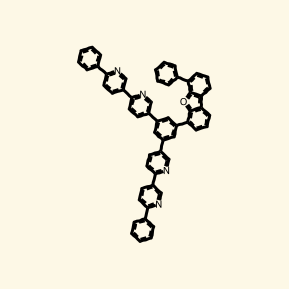 c1ccc(-c2ccc(-c3ccc(-c4cc(-c5ccc(-c6ccc(-c7ccccc7)nc6)nc5)cc(-c5cccc6c5oc5c(-c7ccccc7)cccc56)c4)cn3)cn2)cc1